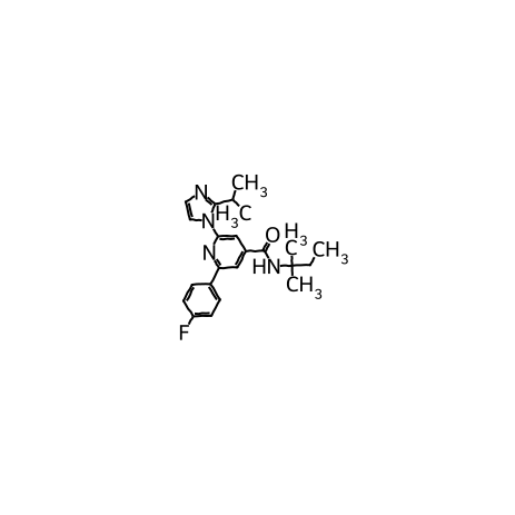 CCC(C)(C)NC(=O)c1cc(-c2ccc(F)cc2)nc(-n2ccnc2C(C)C)c1